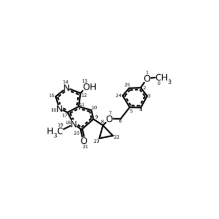 COc1ccc(COC2(c3cc4c(O)ncnc4n(C)c3=O)CC2)cc1